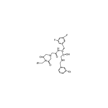 CCc1cccc(CNC[C@H](O)[C@H](Cc2cc(F)cc(F)c2)NC(=O)CN2CC(=O)N(CC(C)C)C(=O)C2)c1